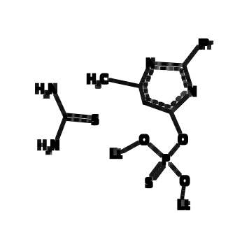 CCOP(=S)(OCC)Oc1cc(C)nc(C(C)C)n1.NC(N)=S